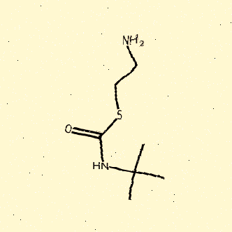 CC(C)(C)NC(=O)SCCN